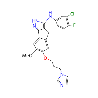 COc1cc2c(cc1OCCCn1ccnc1)Cc1c-2n[nH]c1Nc1ccc(F)c(Cl)c1